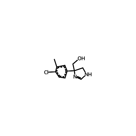 Cc1cc(C2(CO)CNC=N2)ccc1Cl